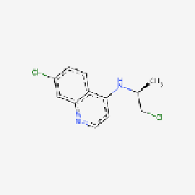 C[C@@H](CCl)Nc1ccnc2cc(Cl)ccc12